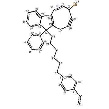 C=Cc1ccc(CCCCCCC2(c3ccccc3)C3=C(/C=C\C(Br)C#CC3)c3ccccc32)cc1